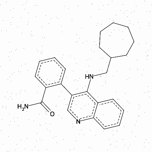 NC(=O)c1ccccc1-c1cnc2ccccc2c1NCC1CCCCCC1